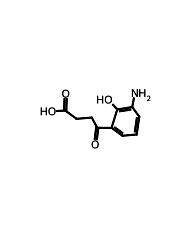 Nc1cccc(C(=O)CCC(=O)O)c1O